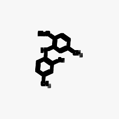 COc1ccc(C)cc1Pc1ccc(C)cc1C(C)=O